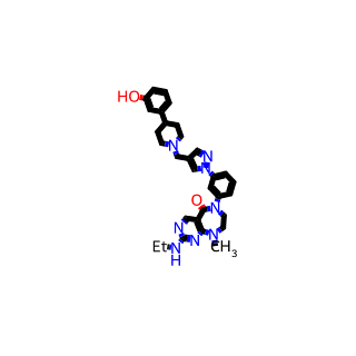 CCNc1ncc2c(n1)N(C)CCN(c1cccc(-n3cc(CN4CCC(c5cccc(O)c5)CC4)cn3)c1)C2=O